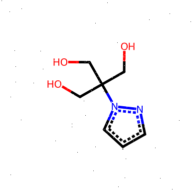 OCC(CO)(CO)n1c[c]cn1